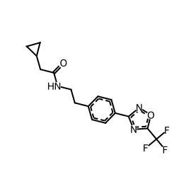 O=C(CC1CC1)NCCc1ccc(-c2noc(C(F)(F)F)n2)cc1